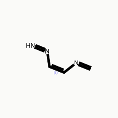 C=N/C=C\N=N